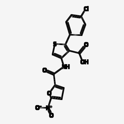 O=C(Nc1csc(-c2ccc(Cl)cc2)c1C(=O)O)c1ccc([N+](=O)[O-])o1